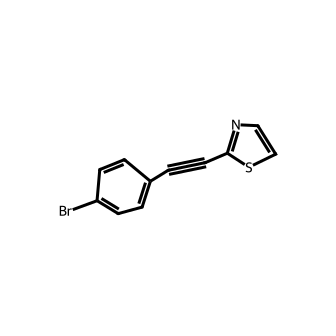 Brc1ccc(C#Cc2nccs2)cc1